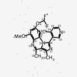 COc1cc(OC(F)F)cc2c1nc(C)c1c(C)nc(-c3cnccc3C)n12